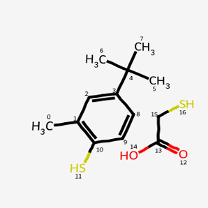 Cc1cc(C(C)(C)C)ccc1S.O=C(O)CS